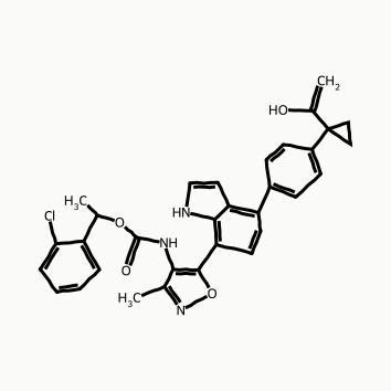 C=C(O)C1(c2ccc(-c3ccc(-c4onc(C)c4NC(=O)OC(C)c4ccccc4Cl)c4[nH]ccc34)cc2)CC1